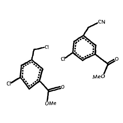 COC(=O)c1cc(Cl)cc(CC#N)c1.COC(=O)c1cc(Cl)cc(CCl)c1